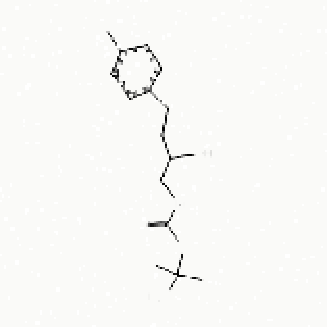 CC(C)(C)OC(=O)NCC(O)CCc1ccc(F)cc1